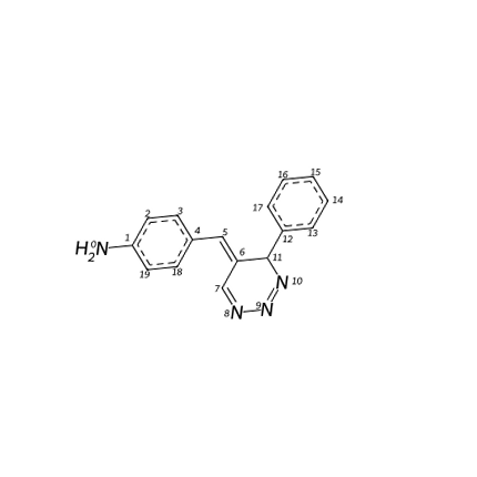 Nc1ccc(C=C2C=NN=NC2c2ccccc2)cc1